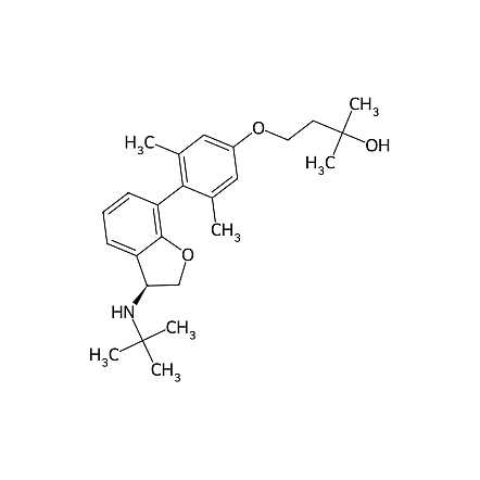 Cc1cc(OCCC(C)(C)O)cc(C)c1-c1cccc2c1OC[C@H]2NC(C)(C)C